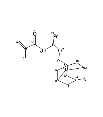 C=C(C)C(=O)OC(OCC12CC3CC(CC(C3)C1)C2)C(C)C